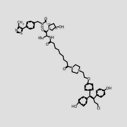 Cc1ncsc1-c1ccc(CNC(=O)[C@@H]2C[C@@H](O)CN2C(=O)C(NC(=O)CCCCCCCC(=O)N2CCN(CCOc3ccc(C(=C(CCCl)c4ccc(O)cc4)c4ccc(O)cc4)cc3)CC2)C(C)(C)C)cc1